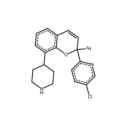 [2H]C1(c2ccc(Cl)cn2)C=Cc2cccc(C3CCNCC3)c2O1